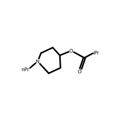 CCCN1CCC(OC(=O)C(C)C)CC1